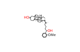 COc1ccccc1C(O)CCC[C@@H](C)[C@H]1CC[C@H]2[C@@H]3CC=C4C[C@@H](O)CC[C@]4(C)[C@H]3CC[C@]12C